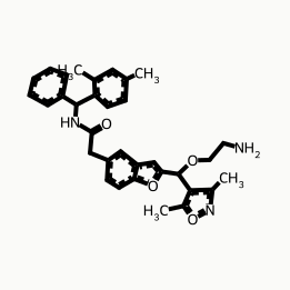 Cc1ccc(C(NC(=O)Cc2ccc3oc(C(OCCN)c4c(C)noc4C)cc3c2)c2ccccc2)c(C)c1